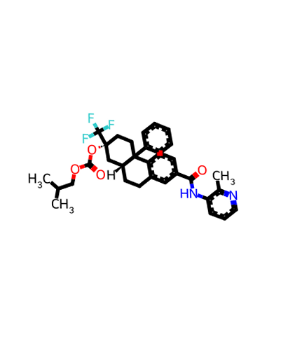 Cc1ncccc1NC(=O)c1ccc2c(c1)CC[C@@H]1C[C@@](OC(=O)OCC(C)C)(C(F)(F)F)CCC21c1ccccc1